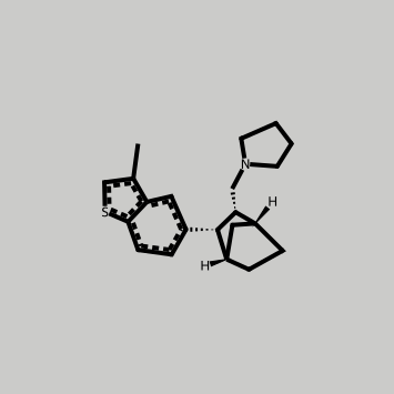 Cc1csc2ccc([C@H]3[C@H]4CC[C@H](C4)[C@H]3CN3CCCC3)cc12